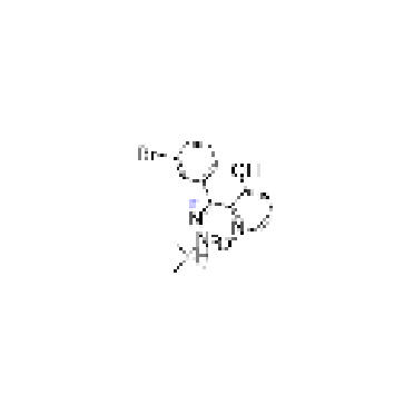 CC(C)(C)[NH+]([O-])/N=C(/c1cccc(Br)c1)c1ncccc1O